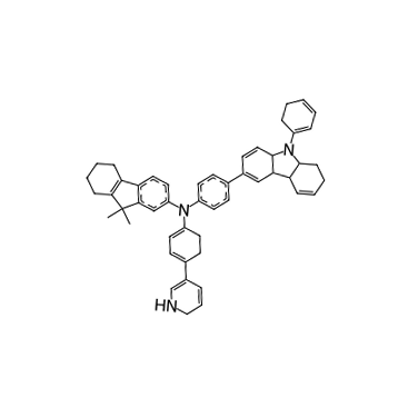 CC1(C)C2=C(CCCC2)c2ccc(N(C3=CC=C(C4=CNCC=C4)CC3)c3ccc(C4=CC5C6C=CCCC6N(C6=CC=CCC6)C5C=C4)cc3)cc21